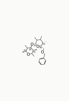 CC1C(C)[C@H](C)[C@H](COCc2ccccc2)O[C@@H]1O[C@@H]1C(C)[C@H](C)OC(C)[C@@H]1C